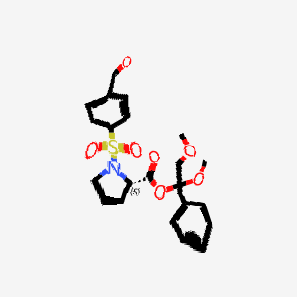 COCC(OC)(OC(=O)[C@@H]1CCCN1S(=O)(=O)c1ccc(C=O)cc1)c1ccccc1